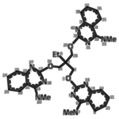 CCC(COc1nc(NC)c2ccccc2n1)(COc1nc(NC)c2ccccc2n1)COc1nc(NC)c2ccccc2n1